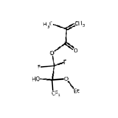 C=C(C)C(=O)OC(F)(F)C(O)(OCC)C(F)(F)F